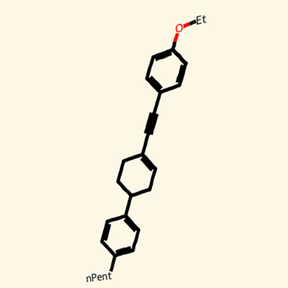 CCCCCc1ccc(C2CC=C(C#Cc3ccc(OCC)cc3)CC2)cc1